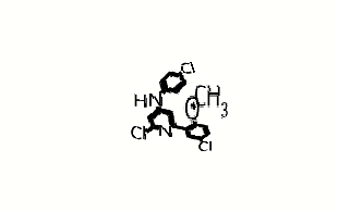 COc1ccc(Cl)cc1-c1cc(Nc2ccc(Cl)cc2)cc(Cl)n1